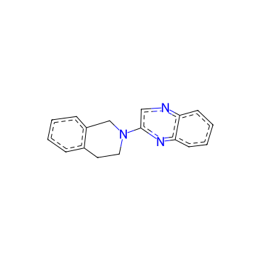 c1ccc2c(c1)CCN(c1cnc3ccccc3n1)C2